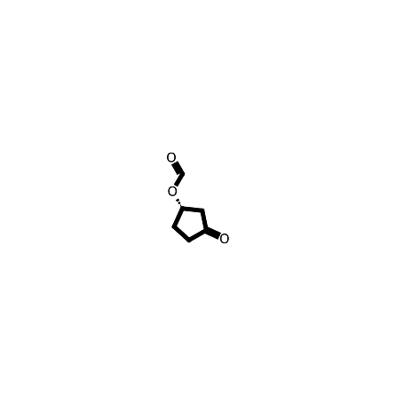 O=CO[C@H]1CCC(=O)C1